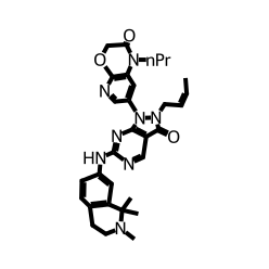 C/C=C\Cn1c(=O)c2cnc(Nc3ccc4c(c3)C(C)(C)N(C)CC4)nc2n1-c1cnc2c(c1)N(CCC)C(=O)CO2